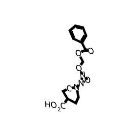 O=C(OCOn1on1N1CCC(C(=O)O)CC1)c1ccccc1